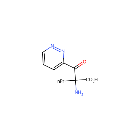 CCCC(N)(C(=O)O)C(=O)c1cccnn1